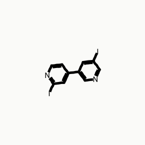 Ic1cncc(-c2ccnc(I)c2)c1